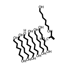 C=C(C)C(=O)O.OCCCCCCO.OCCCCCCO.OCCCCCCO.OCCCCCCO.OCCCCCCO.OCCCCCCO.OCCCCCCO